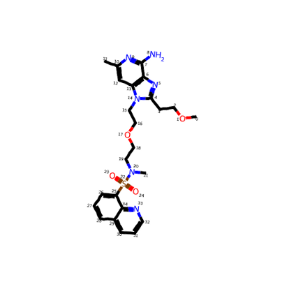 COCCc1nc2c(N)nc(C)cc2n1CCOCCN(C)S(=O)(=O)c1cccc2cccnc12